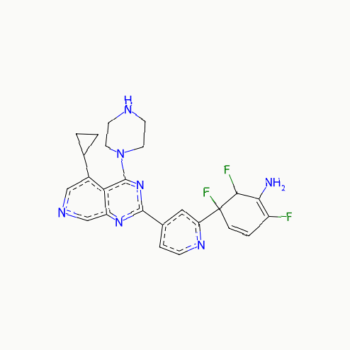 NC1=C(F)C=CC(F)(c2cc(-c3nc(N4CCNCC4)c4c(C5CC5)cncc4n3)ccn2)C1F